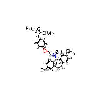 CCOC(=O)C(Cc1ccc(OCCN(C)C2c3ccc(CC)cc3CCc3ccc(C)cc32)cc1)OC